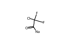 O=[C]([Na])C(F)(F)Cl